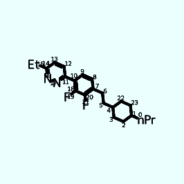 CCCC1CCC(CCc2ccc(-c3ccc(CC)nn3)c(F)c2F)CC1